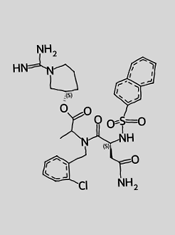 CC(C(=O)O[C@H]1CCCN(C(=N)N)C1)N(Cc1ccccc1Cl)C(=O)[C@H](CC(N)=O)NS(=O)(=O)c1ccc2ccccc2c1